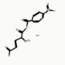 NC(CCC(=O)[O-])C(=O)OC(=O)c1ccc([N+](=O)[O-])cc1.[Na+]